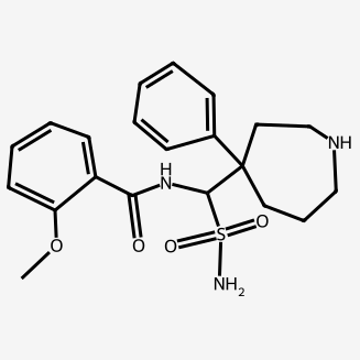 COc1ccccc1C(=O)NC(C1(c2ccccc2)CCCNCC1)S(N)(=O)=O